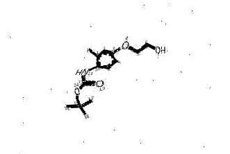 Cc1cc(OCCO)ccc1NC(=O)OC(C)(C)C